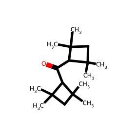 CC1(C)CC(C)(C)C1C(=O)C1C(C)(C)CC1(C)C